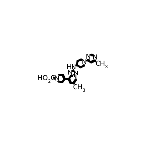 Cc1cc(C2=CCN(C(=O)O)CC2)c2nc(NC3CCN(c4cc(C)ncn4)CC3)nn2c1